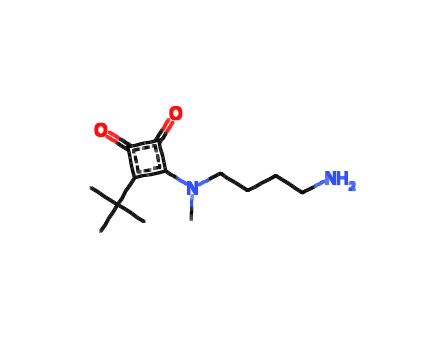 CN(CCCCN)c1c(C(C)(C)C)c(=O)c1=O